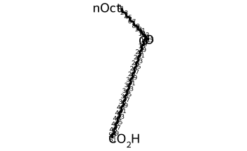 CCCCCCCCC=CCCCCCCCCCCCC(=O)OCCCCCCCCCCCCCCCCCCCCCCCCCCCCCCCCCCC(=O)O